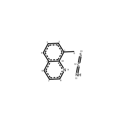 Cc1cccc2cccnc12.N=C=S